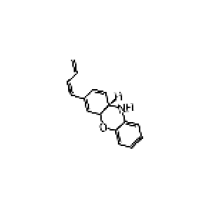 C=C/C=C\C1=CC2Oc3ccccc3N[C@H]2C=C1